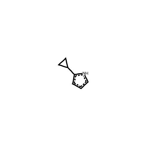 [c]1cc[nH]c1C1CC1